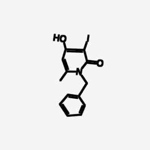 Cc1cc(O)c(I)c(=O)n1Cc1ccccc1